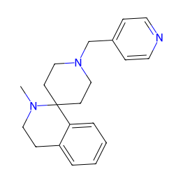 CN1CCc2ccccc2C12CCN(Cc1ccncc1)CC2